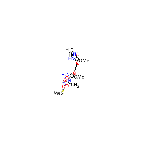 C=C1C[C@H]2CNc3cc(OCCCCCOc4cc(N)c(C(=O)N5CC(=C)C[C@H]5C5OCCN5C(=O)OCCSSC)cc4OC)c(OC)cc3C(=O)N2C1